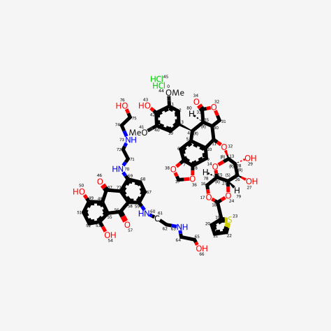 COc1cc([C@@H]2c3cc4c(cc3C(O[C@@H]3O[C@@H]5COC(c6cccs6)O[C@H]5[C@H](O)[C@H]3O)C3COC(=O)[C@@H]32)OCO4)cc(OC)c1O.Cl.Cl.O=C1c2c(O)ccc(O)c2C(=O)c2c(NCCNCCO)ccc(NCCNCCO)c21